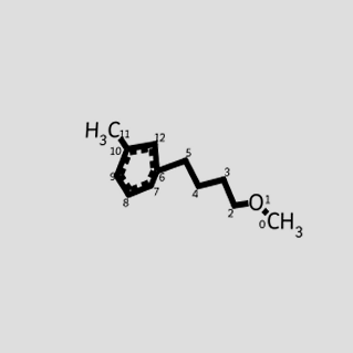 COCCCCc1cccc(C)c1